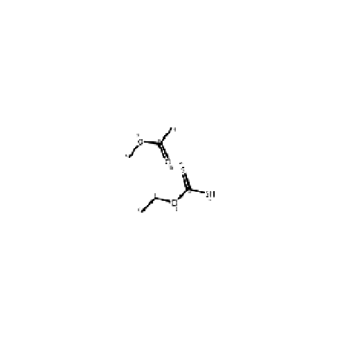 CCOC(=S)S.COC(C)=O